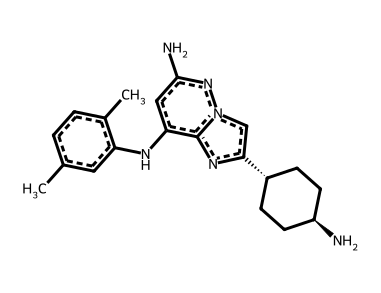 Cc1ccc(C)c(Nc2cc(N)nn3cc([C@H]4CC[C@H](N)CC4)nc23)c1